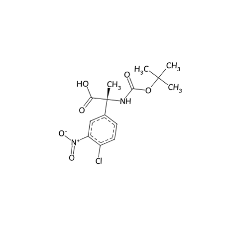 CC(C)(C)OC(=O)N[C@@](C)(C(=O)O)c1ccc(Cl)c([N+](=O)[O-])c1